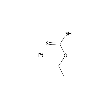 CCOC(=S)S.[Pt]